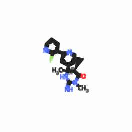 CN1C(=N)N[C@](C)(c2ccnc(-c3cccnc3F)c2)[C@@H](C2CC2)C1=O